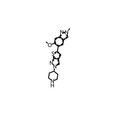 COc1cc2nn(C)cc2cc1-c1cc2cn(C3CCNCC3)nc2s1